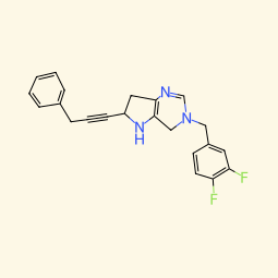 Fc1ccc(CN2C=NC3=C(C2)NC(C#CCc2ccccc2)C3)cc1F